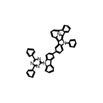 c1ccc(-c2nc(-c3ccccc3)nc(-n3c4ccccc4c4cc(-c5ccc6c(c5)c5c(c7c8ccccc8c8cccc5n87)n6-c5ccccc5)ccc43)n2)cc1